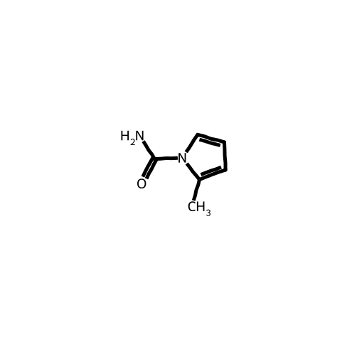 Cc1cccn1C(N)=O